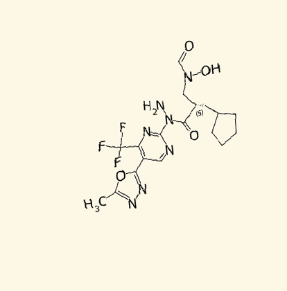 Cc1nnc(-c2cnc(N(N)C(=O)[C@@H](CC3CCCC3)CN(O)C=O)nc2C(F)(F)F)o1